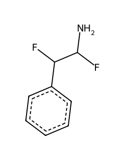 NC(F)C(F)c1ccccc1